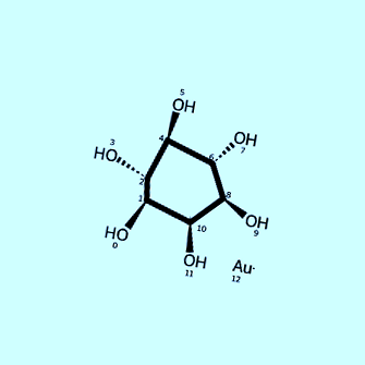 O[C@H]1[C@H](O)[C@@H](O)[C@H](O)[C@@H](O)[C@H]1O.[Au]